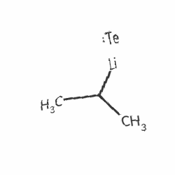 [Li][CH](C)C.[Te]